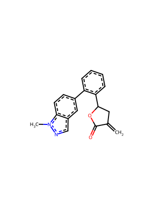 C=C1CC(c2ccccc2-c2ccc3c(cnn3C)c2)OC1=O